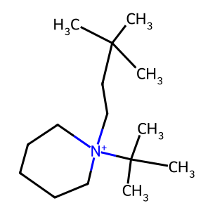 CC(C)(C)CC[N+]1(C(C)(C)C)CCCCC1